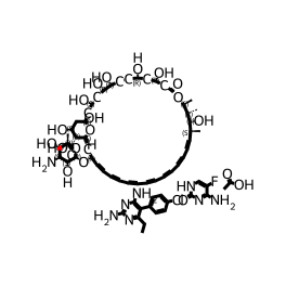 CC(=O)O.CCc1nc(N)nc(N)c1-c1ccc(Cl)cc1.C[C@@H]1[C@H](O)[C@@H](C)C=CC=CC=CC=CC=CC=CC=C[C@H](O[C@@H]2O[C@H](C)[C@@H](O)[C@H](N)[C@@H]2O)C[C@@H]2O[C@](O)(C[C@@H](O)C[C@@H](O)[C@H](O)CC[C@@H](O)C[C@@H](O)CC(=O)O[C@H]1C)C[C@H](O)[C@H]2C(=O)O.Nc1nc(=O)[nH]cc1F